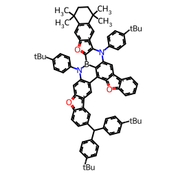 CC(C)(C)c1ccc(C(c2ccc(C(C)(C)C)cc2)c2ccc3oc4cc5c(cc4c3c2)-c2c3c(cc4c2oc2ccccc24)N(c2ccc(C(C)(C)C)cc2)c2c(oc4cc6c(cc24)C(C)(C)CCC6(C)C)B3N5c2ccc(C(C)(C)C)cc2)cc1